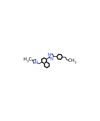 CCCc1ccc(C2=NC(c3ccc(CN4CC(C)C4)c4ccccc34)=NC2)cc1